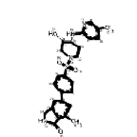 Cc1cc(-c2ccc(S(=O)(=O)N3CC[C@@H](Nc4ccc(C(F)(F)F)cn4)[C@@H](O)C3)cc2)cc2c1C(=O)NC2